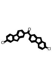 O=C(c1ccc2c(c1)Cc1cc(Cl)ccc1-2)c1ccc2c(c1)Cc1cc(Cl)ccc1-2